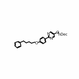 CCCCCCCCCCOc1cnc(-c2ccc(OCCCCCc3ccccc3)cc2)nc1